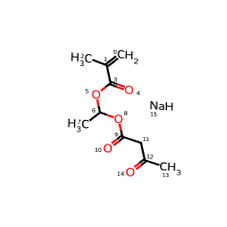 C=C(C)C(=O)OC(C)OC(=O)CC(C)=O.[NaH]